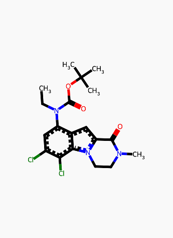 CCN(C(=O)OC(C)(C)C)c1cc(Cl)c(Cl)c2c1cc1n2CCN(C)C1=O